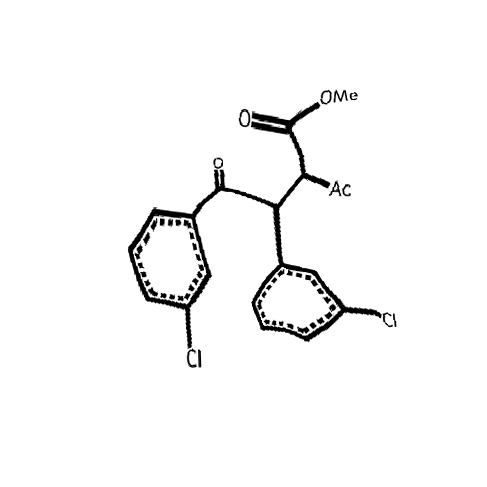 COC(=O)C(C(C)=O)C(C(=O)c1cccc(Cl)c1)c1cccc(Cl)c1